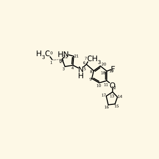 CC[C@H]1CC(NC(C)c2ccc(OC3CCCC3)c(F)c2)=CN1